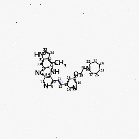 Cc1c(Nc2c(C#N)cncc2/C=C/c2cncc(OCCN3CCCCCC3)c2)ccc2[nH]ccc12